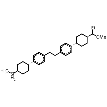 CCC(OC)[C@H]1CC[C@H](c2ccc(CCc3ccc([C@H]4CC[C@H]([SiH2]C)CC4)cc3)cc2)CC1